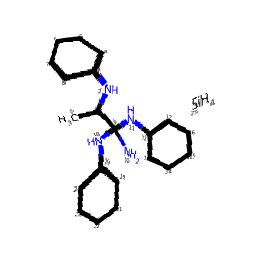 CC(NC1CCCCC1)C(N)(NC1CCCCC1)NC1CCCCC1.[SiH4]